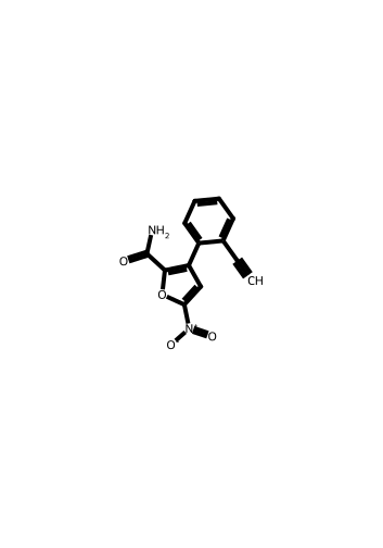 C#Cc1ccccc1-c1cc([N+](=O)[O-])oc1C(N)=O